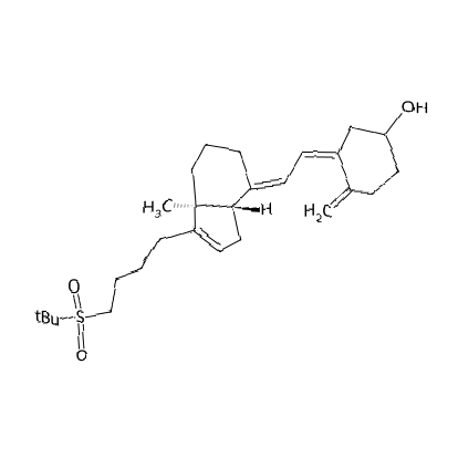 C=C1CCC(O)C/C1=C/C=C1\CCC[C@]2(C)C(CCCCS(=O)(=O)C(C)(C)C)=CC[C@@H]12